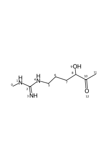 CNC(=N)NCCCC(O)C(C)=O